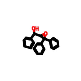 OC(c1ccccc1)C1OC1(c1ccccc1)c1ccccc1